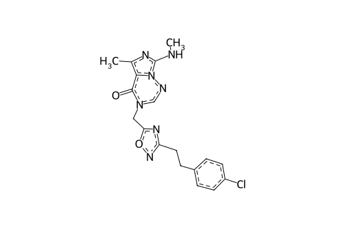 CNc1nc(C)c2c(=O)n(Cc3nc(CCc4ccc(Cl)cc4)no3)cnn12